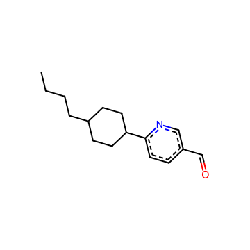 CCCCC1CCC(c2ccc(C=O)cn2)CC1